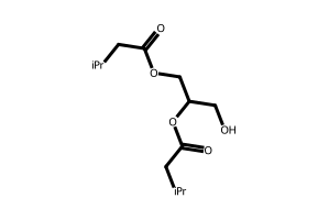 CC(C)CC(=O)OCC(CO)OC(=O)CC(C)C